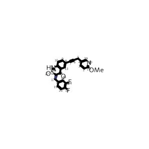 COc1ccc(CC#Cc2ccc3c(c2)C(=O)/C(=C\c2ccc(F)c(F)c2)[S+]([O-])N3)cn1